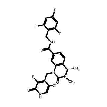 C[C@H]1c2ccc(C(=O)NCc3c(F)cc(F)cc3F)cc2N(Cc2c(Cl)c[nH]c(=O)c2F)C(=O)N1C